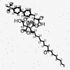 CCCCCCCC(=O)CCCCCC/C=C/[C@H](C(=O)N[C@@H](Cc1ccc(-c2ccc(S(C)(=O)=O)cc2)cc1)C(=O)O)[C@@](O)(CC(=O)O)C(=O)O